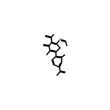 C=C(C)C1=C(/N=C\C)CC(c2ccc(C(=C)C)cc2C)=C(C)C1=C